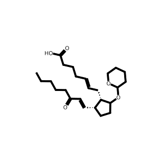 CCCCCC(=O)C=C[C@H]1CCC(OC2CCCCO2)[C@H]1CC=CCCCC(=O)O